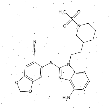 CS(=O)(=O)N1CCCC(CCn2c(Sc3cc4c(cc3C#N)OCO4)nc3c(N)ncnc32)C1